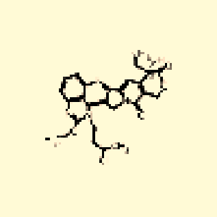 CC[C@@]1(O)C(=O)OCc2c1cc1n(c2=O)Cc2c-1nc1cccc3c1c2N(CCC(C)C)C(OC)=N3